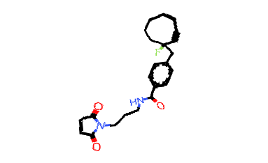 O=C(NCCCN1C(=O)C=CC1=O)c1ccc(CC2(F)C#CCCCCC2)cc1